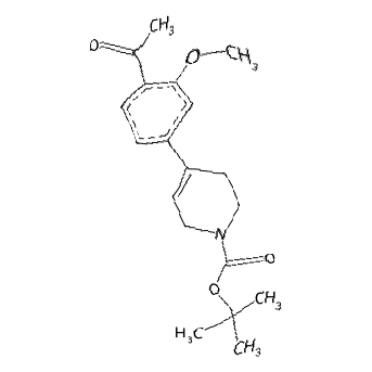 COc1cc(C2=CCN(C(=O)OC(C)(C)C)CC2)ccc1C(C)=O